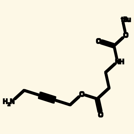 CC(C)(C)OC(=O)NCCC(=O)OCC#CCN